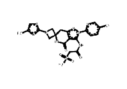 CS(=O)(=O)CC(=O)Nc1c2c(nn1-c1ccc(C#N)cn1)CC1(CN(c3nc(C(F)(F)F)co3)C1)NC2=O